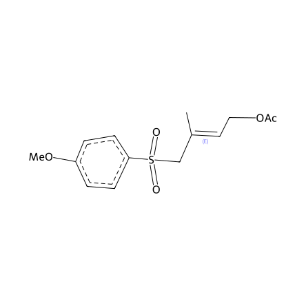 COc1ccc(S(=O)(=O)C/C(C)=C/COC(C)=O)cc1